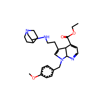 CCOC(=O)C1=CC=NC2C1C(CCNC1CN3CCC1CC3)=CN2Cc1ccc(OC)cc1